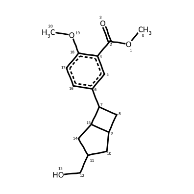 COC(=O)c1cc(C2CC3CC(CO)CC32)ccc1OC